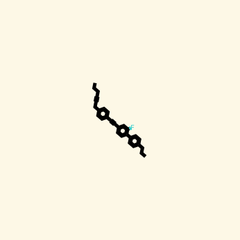 CCCC#CCc1ccc(C#Cc2ccc(-c3ccc(CCC)cc3)c(F)c2)cc1